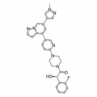 Cn1cc(-c2cc(-c3ccc(N4CCN(C(=O)[C@H](O)c5ccccc5F)CC4)nc3)c3ccnn3c2)cn1